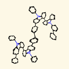 c1ccc(-c2cccc(-n3c4ccccc4c4c(-c5cccc6c5c5cc(-c7ccc(-c8ccc(-c9ccc%10c(c9)c9c(-c%11cccc%12c%11c%11cc(-c%13ccccc%13)ccc%11n%12-c%11ccccc%11)cccc9n%10-c9ccccc9)cc8)cc7)ccc5n6-c5ccccc5)cccc43)c2)cc1